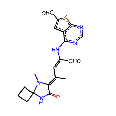 CC(/C=C(\C=O)Nc1ncnc2sc(C=O)cc12)=C1\C(=O)NC2(CCC2)N1C